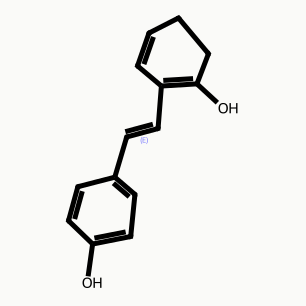 OC1=C(/C=C/c2ccc(O)cc2)C=CCC1